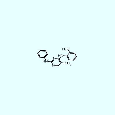 Cc1ccccc1Nc1nc(Nc2ccccc2)ncc1C